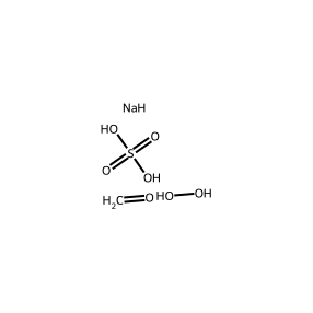 C=O.O=S(=O)(O)O.OO.[NaH]